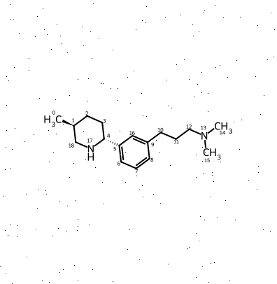 C[C@H]1CC[C@H](c2cccc(CCCN(C)C)c2)NC1